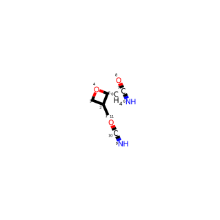 C.CC1COC1.N=C=O.N=C=O